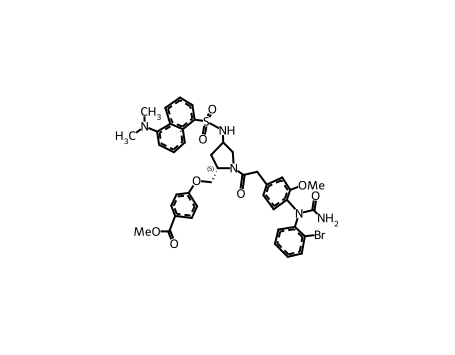 COC(=O)c1ccc(OC[C@@H]2CC(NS(=O)(=O)c3cccc4c(N(C)C)cccc34)CN2C(=O)Cc2ccc(N(C(N)=O)c3ccccc3Br)c(OC)c2)cc1